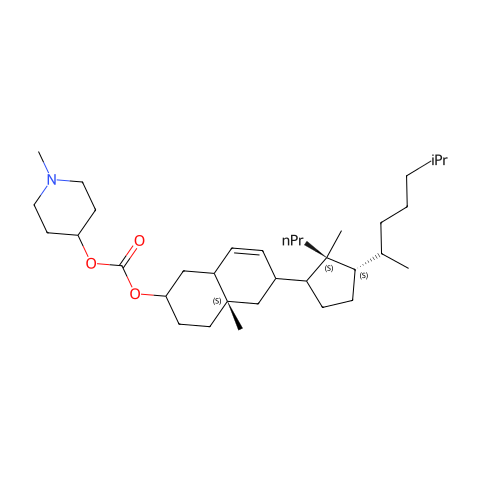 CCC[C@]1(C)C(C2C=CC3CC(OC(=O)OC4CCN(C)CC4)CC[C@@]3(C)C2)CC[C@H]1C(C)CCCC(C)C